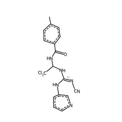 Cc1ccc(C(=O)NC(N/C(=N/C#N)Nc2cccnc2)C(Cl)(Cl)Cl)cc1